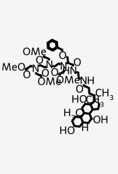 COC(=O)CN(CCN(CC(=O)OC)CC(=O)OC)CCN(CC(=O)OC)C(COCc1ccccc1)C(=O)NCCNC(=O)CC[C@@H](C)[C@H]1CCC2C3C(C[C@H](O)[C@@]21C)[C@@]1(C)CC[C@@H](O)C[C@H]1C[C@H]3O